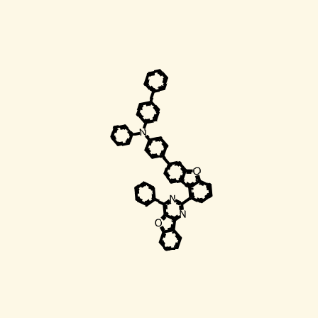 c1ccc(-c2ccc(N(c3ccccc3)c3ccc(-c4ccc5c(c4)oc4cccc(-c6nc(-c7ccccc7)c7oc8ccccc8c7n6)c45)cc3)cc2)cc1